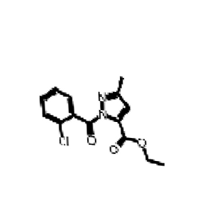 CCOC(=O)c1cc(C)nn1C(=O)c1ccccc1Cl